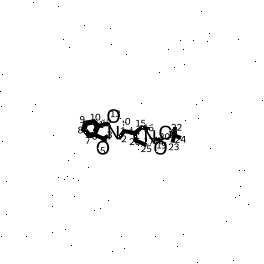 C[C@@H](CN1C(=O)c2ccccc2C1=O)C1CCN(C(=O)OC(C)(C)C)CC1